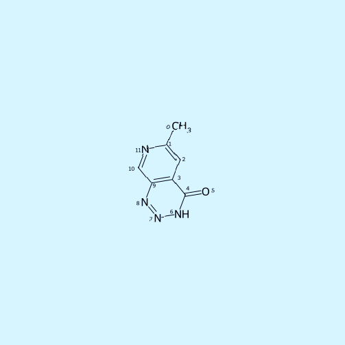 Cc1cc2c(=O)[nH]nnc2cn1